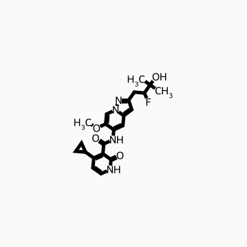 COc1cn2nc(CC(F)C(C)(C)O)cc2cc1NC(=O)c1c(C2CC2)cc[nH]c1=O